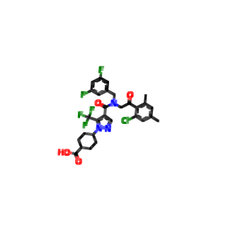 Cc1cc(C)c(C(=O)CN(Cc2cc(F)cc(F)c2)C(=O)c2cnn(C3CCC(C(=O)O)CC3)c2C(F)(F)F)c(Cl)c1